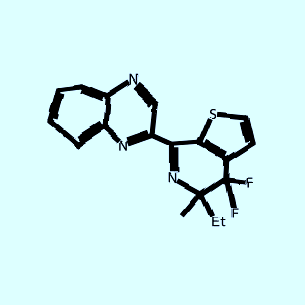 CCC1(C)N=C(c2cnc3ccccc3n2)c2sccc2C1(F)F